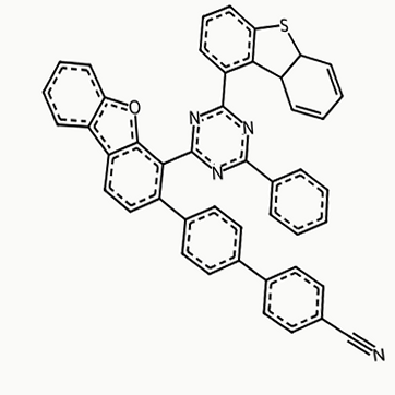 N#Cc1ccc(-c2ccc(-c3ccc4c(oc5ccccc54)c3-c3nc(-c4ccccc4)nc(-c4cccc5c4C4C=CC=CC4S5)n3)cc2)cc1